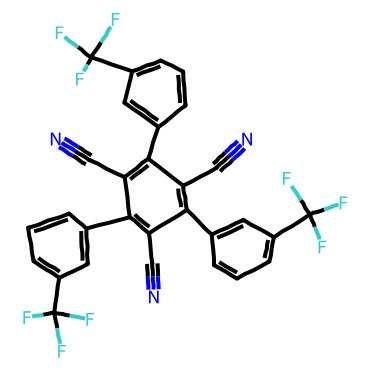 N#Cc1c(-c2cccc(C(F)(F)F)c2)c(C#N)c(-c2cccc(C(F)(F)F)c2)c(C#N)c1-c1cccc(C(F)(F)F)c1